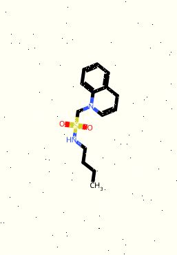 CCCCNS(=O)(=O)CN1C=CCc2ccccc21